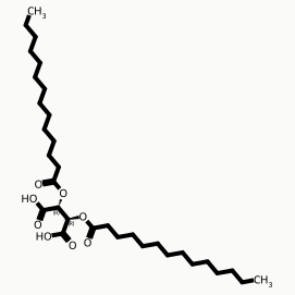 CCCCCCCCCCCCCC(=O)O[C@@H](C(=O)O)[C@@H](OC(=O)CCCCCCCCCCCCC)C(=O)O